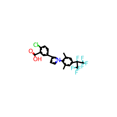 Cc1cc(C(F)(C(F)(F)F)C(F)(F)F)cc(C)c1-n1ccc(-c2ccc(Cl)c(C(=O)O)c2)c1